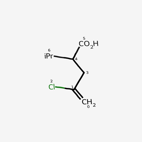 C=C(Cl)CC(C(=O)O)C(C)C